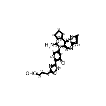 NC(=O)N(c1cnc(-c2noc(CCCC=O)n2)c(Cl)c1)c1cnc2ccnn2c1C1CCCC1